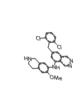 COc1cc2c(cc1Nc1cc(Cc3c(Cl)cccc3Cl)cc3cnncc13)CNCC2